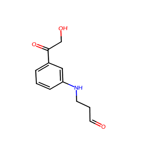 O=CCCNc1cccc(C(=O)CO)c1